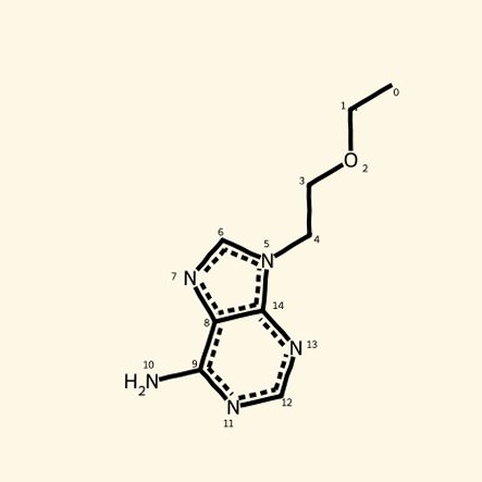 C[CH]OCCn1cnc2c(N)ncnc21